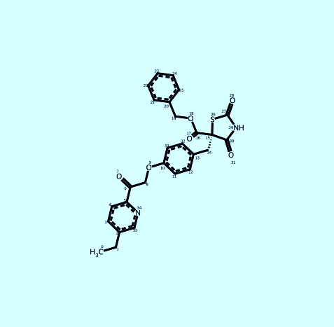 CCc1ccc(C(=O)COc2ccc(C[C@]3(C(=O)OCc4ccccc4)SC(=O)NC3=O)cc2)nc1